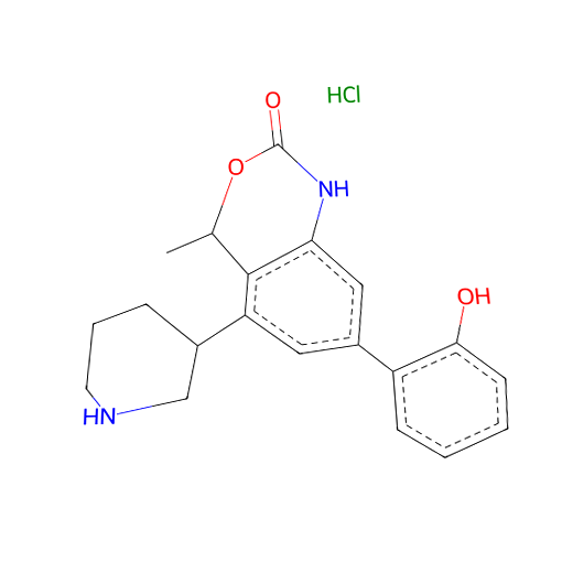 CC1OC(=O)Nc2cc(-c3ccccc3O)cc(C3CCCNC3)c21.Cl